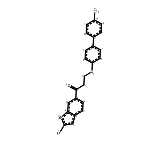 [CH]Cc1cc2ccc(C(=O)CCOc3ccc(-c4ccc(C(F)(F)F)cc4)cc3)cc2[nH]1